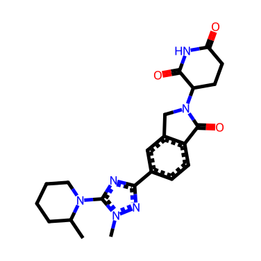 CC1CCCCN1c1nc(-c2ccc3c(c2)CN(C2CCC(=O)NC2=O)C3=O)nn1C